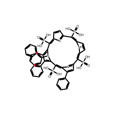 O=P(O)(O)c1c2nc(c(P(=O)(O)O)c3c(-c4ccccc4)c(-c4ccccc4)c(c(P(=O)(O)O)c4nc(c(P(=O)(O)O)c5ccc1[nH]5)C=C4c1ccccc1)n3-c1ccccc1)C=C2